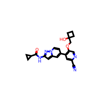 N#Cc1cc(-c2ccn3nc(NC(=O)C4CC4)cc3c2)c(OCC2(O)CCC2)cn1